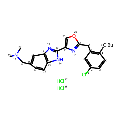 CC(C)COc1ccc(Cl)cc1Cc1nc(-c2nc3cc(CN(C)C)ccc3[nH]2)co1.Cl.Cl